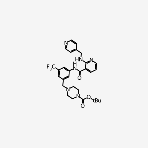 CC(C)(C)OC(=O)N1CCN(Cc2cc(NC(=O)c3cccnc3NCc3ccncc3)cc(C(F)(F)F)c2)CC1